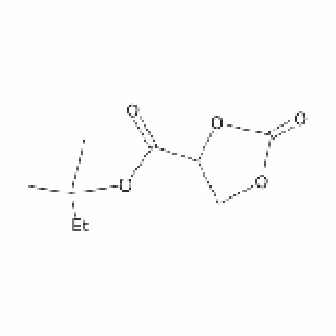 CCC(C)(C)OC(=O)C1COC(=O)O1